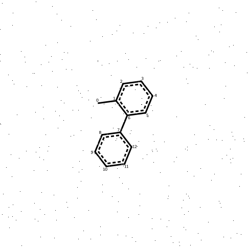 Cc1ccccc1-c1c[c]ccc1